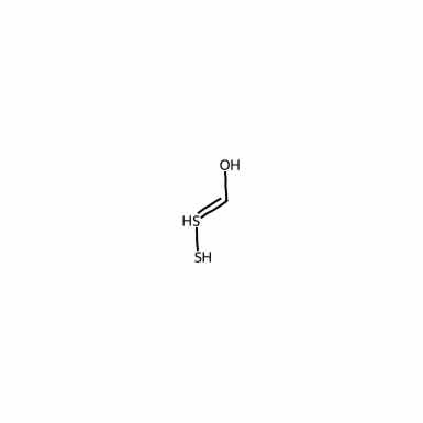 OC=[SH]S